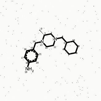 C[C@@H]1CN(CC2CCCCC2)CCN1Cc1ccc(N)cc1